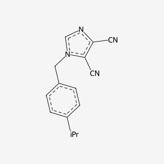 CC(C)c1ccc(Cn2cnc(C#N)c2C#N)cc1